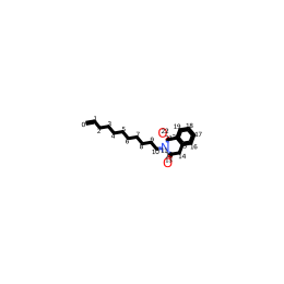 C=CCCCCCCCCCN1C(=O)Cc2ccccc2C1=O